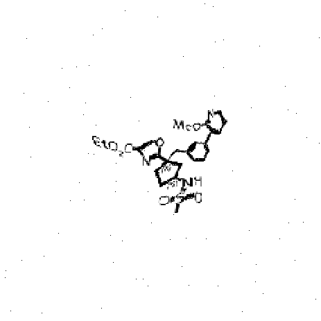 CCOC(=O)c1coc([C@@]2(Cc3cccc(-c4cccnc4OC)c3)CC[C@H](NS(C)(=O)=O)C2)n1